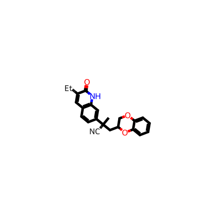 CCc1cc2ccc(C(C)(C#N)CC3COc4ccccc4O3)cc2[nH]c1=O